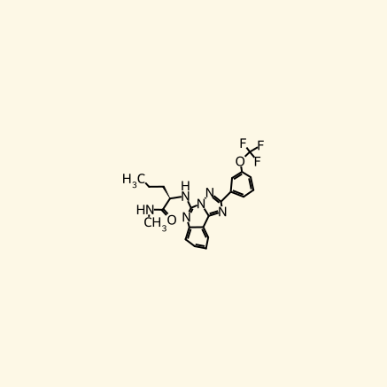 CCC[C@@H](Nc1nc2ccccc2c2nc(-c3cccc(OC(F)(F)F)c3)nn12)C(=O)NC